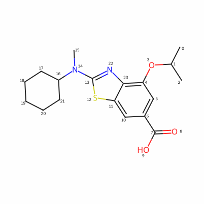 CC(C)Oc1cc(C(=O)O)cc2sc(N(C)C3CCCCC3)nc12